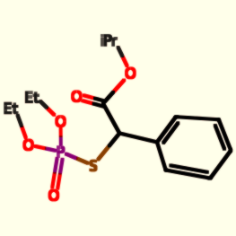 CCOP(=O)(OCC)SC(C(=O)OC(C)C)c1ccccc1